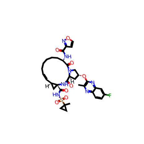 Cc1nc2ccc(F)cc2nc1O[C@@H]1C[C@H]2C(=O)N[C@]3(C(=O)NS(=O)(=O)C4(C)CC4)C[C@H]3/C=C\CCCCC[C@H](NC(=O)c3ccon3)C(=O)N2C1